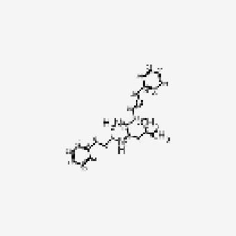 CC(C)CC(NCCCc1ccccc1)C(N)CCOCc1ccccc1